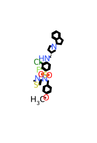 COc1ccc(CN(c2cscn2)S(=O)(=O)c2ccc(NC[C@@H]3CCN([C@H]4CCc5ccccc54)C3)c(Cl)c2F)cc1